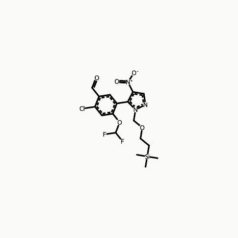 C[Si](C)(C)CCOCn1ncc([N+](=O)[O-])c1-c1cc(C=O)c(Cl)cc1OC(F)F